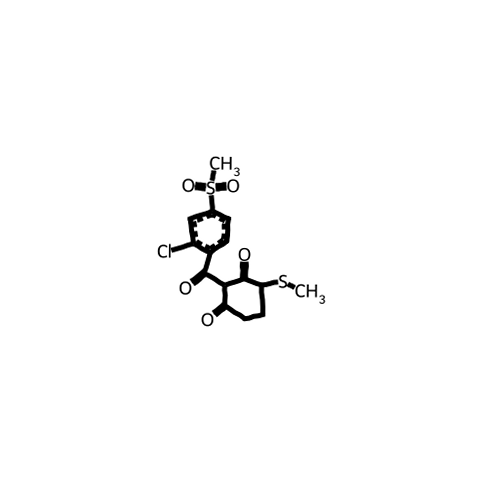 CSC1CCC(=O)C(C(=O)c2ccc(S(C)(=O)=O)cc2Cl)C1=O